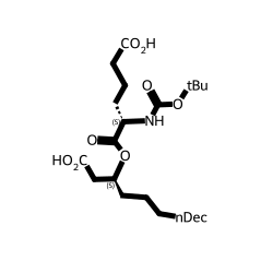 CCCCCCCCCCCCC[C@@H](CC(=O)O)OC(=O)[C@H](CCCC(=O)O)NC(=O)OC(C)(C)C